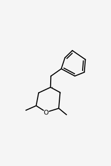 CC1C[C](Cc2ccccc2)CC(C)O1